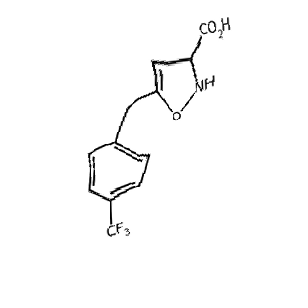 O=C(O)C1C=C(Cc2ccc(C(F)(F)F)cc2)ON1